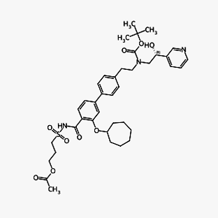 CC(=O)OCCCS(=O)(=O)NC(=O)c1ccc(-c2ccc(CCN(C[C@H](O)c3cccnc3)C(=O)OC(C)(C)C)cc2)cc1OC1CCCCCC1